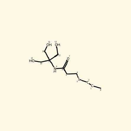 CCCSCCC(=O)NC(CO)(CO)CO